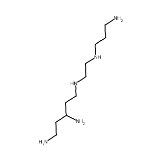 NCCCNCCNCCC(N)CCN